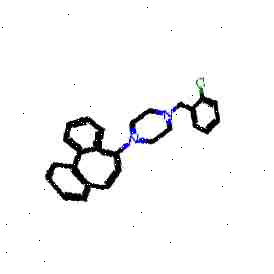 Clc1ccccc1CN1CCN(C2C=CC3=C(CCC=C3)c3ccccc32)CC1